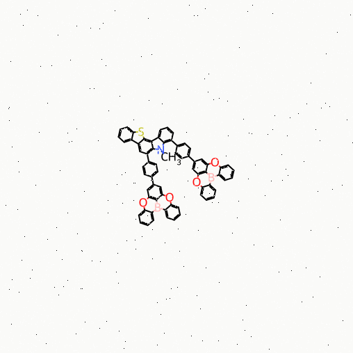 Cn1c2c(-c3ccc(-c4cc5c6c(c4)Oc4ccccc4B6c4ccccc4O5)cc3)cccc2c2c3sc4ccccc4c3cc(-c3ccc(-c4cc5c6c(c4)Oc4ccccc4B6c4ccccc4O5)cc3)c21